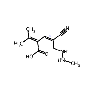 CNNC/C(C#N)=C\C(C(=O)O)=C(C)C